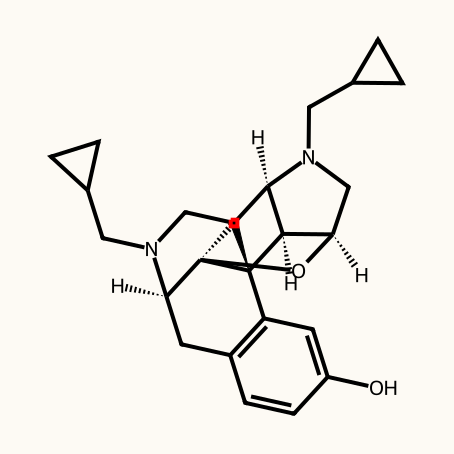 Oc1ccc2c(c1)[C@]13CCN(CC4CC4)[C@H](C2)[C@]12CC[C@@H]1[C@H]3[C@@H](CN1CC1CC1)O2